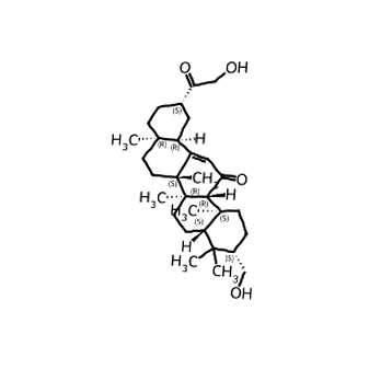 CC1(C)[C@@H](CO)CC[C@]2(C)[C@H]3C(=O)C=C4[C@@H]5C[C@@H](C(=O)CO)CC[C@]5(C)CC[C@@]4(C)[C@]3(C)CC[C@@H]12